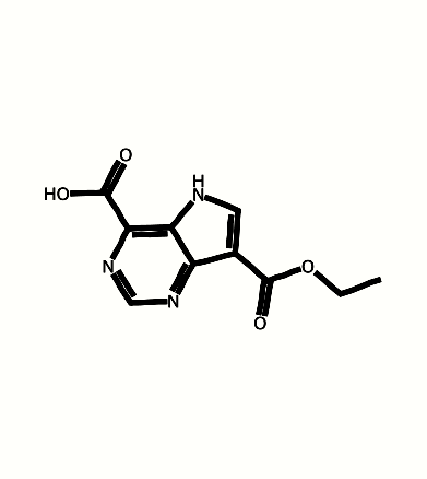 CCOC(=O)c1c[nH]c2c(C(=O)O)ncnc12